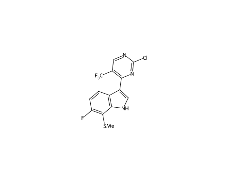 CSc1c(F)ccc2c(-c3nc(Cl)ncc3C(F)(F)F)c[nH]c12